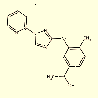 Cc1ccc(C(C)O)cc1Nc1ncn(-c2ccccn2)n1